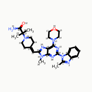 Cc1nc2ccccc2n1-c1nc(N2CCOCC2)c2nc(C=C3CCN(C(C)(C)C(N)=O)CC3)n(C)c2n1